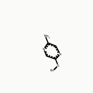 CC(C)Oc1cnc(N)cn1